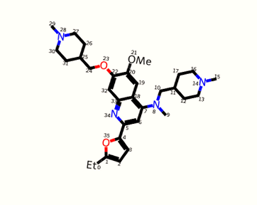 CCc1ccc(-c2cc(N(C)CC3CCN(C)CC3)c3cc(OC)c(OCC4CCN(C)CC4)cc3n2)o1